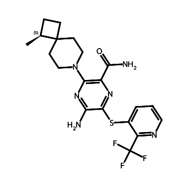 C[C@H]1CCC12CCN(c1nc(N)c(Sc3cccnc3C(F)(F)F)nc1C(N)=O)CC2